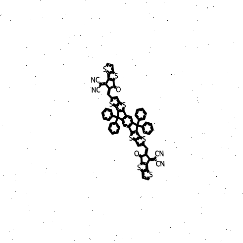 N#CC(C#N)=C1/C(=C/c2cc3sc4c(c3s2)C(c2ccccc2)(c2ccccc2)c2cc3c(cc2-4)C(c2ccccc2)(c2ccccc2)c2c-3sc3cc(/C=C4\C(=O)c5sc6ccsc6c5C4=C(C#N)C#N)sc23)C(=O)c2sc3ccsc3c21